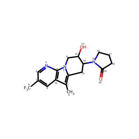 Cc1c2n(c3ncc(C(F)(F)F)cc13)CC(O)C(N1CCCC1=O)C2